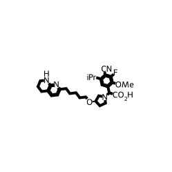 COc1c(C(C(=O)O)N2CC[C@@H](OCCCCCc3ccc4c(n3)NCCC4)C2)cc(C(C)C)c(C#N)c1F